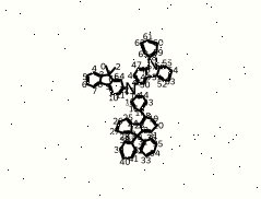 CC1(C)c2ccccc2-c2ccc(N(c3ccc(-c4cccc5c4-c4ccccc4C5(c4ccccc4)c4ccccc4)cc3)c3ccc4c(c3)c3ccccc3n4-c3ccccc3)cc21